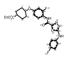 CCOC(=O)[C@H]1CC[C@@H](Oc2ccc(NC(=O)c3nnc(Nc4ccc(F)cc4)o3)c(F)c2)CC1